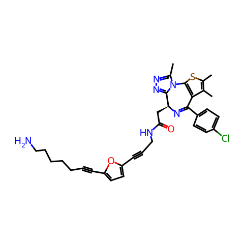 Cc1sc2c(c1C)C(c1ccc(Cl)cc1)=N[C@@H](CC(=O)NCC#Cc1ccc(C#CCCCCCN)o1)c1nnc(C)n1-2